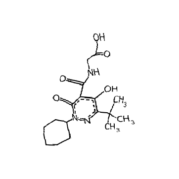 CC(C)(C)c1nn(C2CCCCC2)c(=O)c(C(=O)NCC(=O)O)c1O